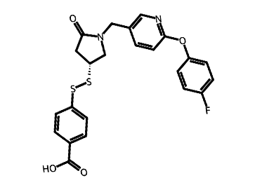 O=C(O)c1ccc(SS[C@@H]2CC(=O)N(Cc3ccc(Oc4ccc(F)cc4)nc3)C2)cc1